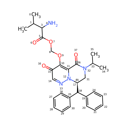 CC(C)C(N)C(=O)OCOc1c2n(ncc1=O)[C@H](C(c1ccccc1)c1ccccc1)CN(C(C)C)C2=O